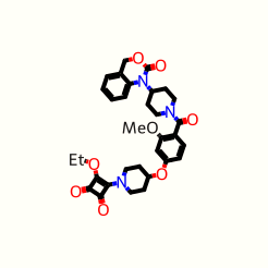 CCOc1c(N2CCC(Oc3ccc(C(=O)N4CCC(N5C(=O)OCc6ccccc65)CC4)c(OC)c3)CC2)c(=O)c1=O